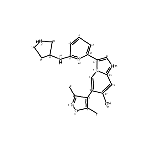 Cc1noc(C)c1-c1cn2c(-c3cccc(NC4CCNC4)n3)cnc2cc1O